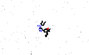 C=C/C=C\C(=C/CC)Nc1cc(/C(C=C)=C/C(=C\C=C)C(C)(C)C)ncn1